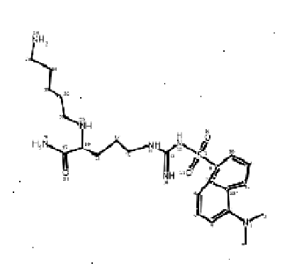 CN(C)c1cccc2c(S(=O)(=O)NC(=N)NCCC[C@H](NCCCCCN)C(N)=O)cccc12